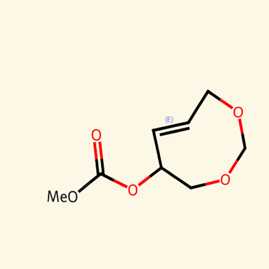 COC(=O)OC1/C=C/COCOC1